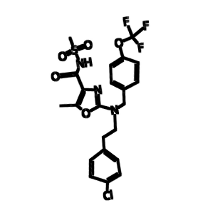 Cc1oc(N(CCc2ccc(Cl)cc2)Cc2ccc(OC(F)(F)F)cc2)nc1C(=O)NS(C)(=O)=O